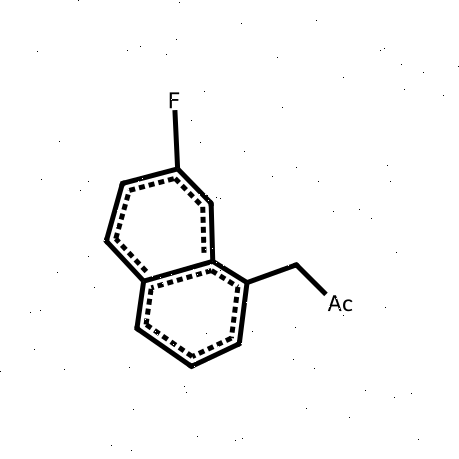 CC(=O)Cc1cccc2ccc(F)cc12